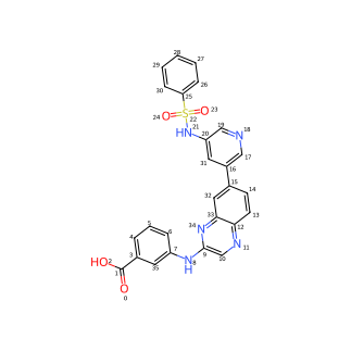 O=C(O)c1cccc(Nc2cnc3ccc(-c4cncc(NS(=O)(=O)c5ccccc5)c4)cc3n2)c1